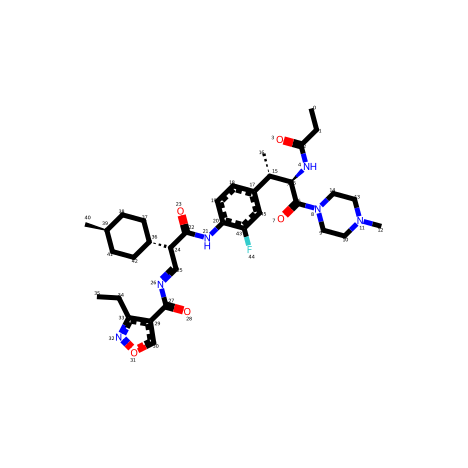 CCC(=O)N[C@@H](C(=O)N1CCN(C)CC1)[C@@H](C)c1ccc(NC(=O)C(C=NC(=O)c2conc2CC)[C@H]2CC[C@H](C)CC2)c(F)c1